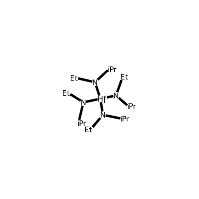 CC[N](C(C)C)[Hf]([N](CC)C(C)C)([N](CC)C(C)C)[N](CC)C(C)C